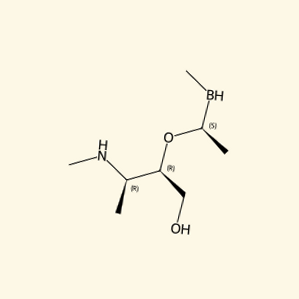 CB[C@@H](C)O[C@@H](CO)[C@@H](C)NC